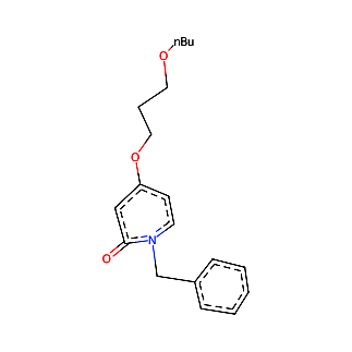 CCCCOCCCOc1ccn(Cc2ccccc2)c(=O)c1